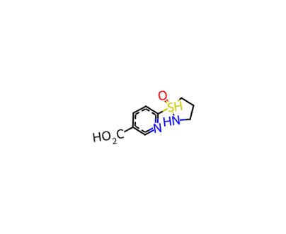 O=C(O)c1ccc([SH]2(=O)CCCN2)nc1